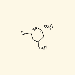 N[C@@H](CC(CCCl)C(=O)O)C(=O)O